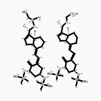 C=C1C(=CC=C2CCC[C@]3(C)C([C@H](C)OCC(=O)O)=CCC23)C[C@@H](O[Si](C)(C)C(C)(C)C)C[C@@H]1O[Si](C)(C)C(C)(C)C.C=C1C(=CC=C2CCC[C@]3(C)C([C@H](C)ON(CC(C)(C)C)C(C)=O)=CCC23)C[C@@H](O[Si](C)(C)C(C)(C)C)C[C@@H]1O[Si](C)(C)C(C)(C)C